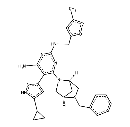 Cc1cc(CNc2nc(N)c(-c3cc(C4CC4)[nH]n3)c(N3C[C@H]4C[C@@H]3CN4Cc3ccccc3)n2)on1